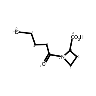 O=C(O)C1CCN1C(=O)CCCS